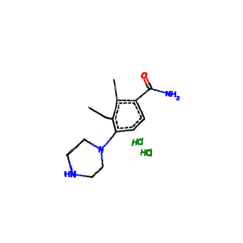 Cc1c(C(N)=O)ccc(N2CCNCC2)c1C.Cl.Cl